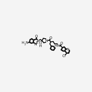 Nc1ccc2c(=O)n(CC3(O)CCN(C(=O)C(CCCNC(=O)c4ccc5c(Cl)ccnc5c4)Cc4ccccc4)CC3)cnc2c1